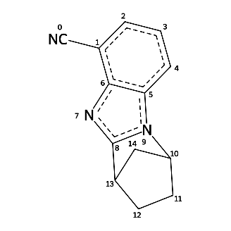 N#Cc1cccc2c1nc1n2C2CCC1C2